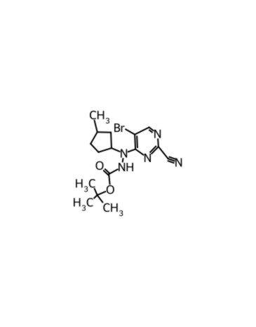 CC1CCC(N(NC(=O)OC(C)(C)C)c2nc(C#N)ncc2Br)C1